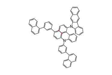 c1cc(-c2ccc(N(c3cccc(-c4cccc5ccccc45)c3)c3ccccc3-c3ccccc3-n3c4ccccc4c4cc5ccccc5cc43)cc2)cc(-c2cccc3ccccc23)c1